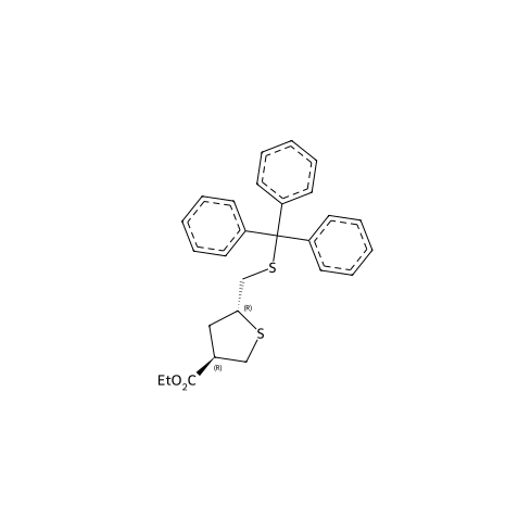 CCOC(=O)[C@@H]1CS[C@@H](CSC(c2ccccc2)(c2ccccc2)c2ccccc2)C1